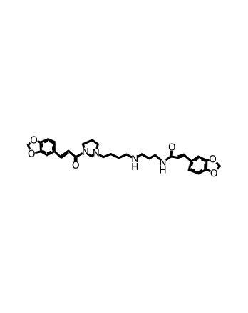 O=C(/C=C/c1ccc2c(c1)OCO2)NCCCNCCCCN1CCCN(C(=O)/C=C/c2ccc3c(c2)OCO3)C1